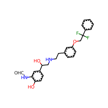 O=CNc1cc(C(O)CNCCc2cccc(OCC(F)(F)c3ccccc3)c2)ccc1O